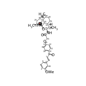 COc1cccc(/C=C/C(=O)c2ccc(OCC(=O)N[C@H]3O[C@@H]4O[C@@]5(C)CC[C@H]6[C@H](C)CC[C@@H]([C@H]3C)[C@@]46OO5)cc2)c1